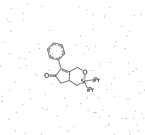 CC(C)[Si]1(C(C)C)CC2CC(=O)C(c3ccccc3)=C2CO1